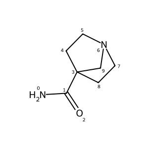 NC(=O)C12CCN(CC1)C2